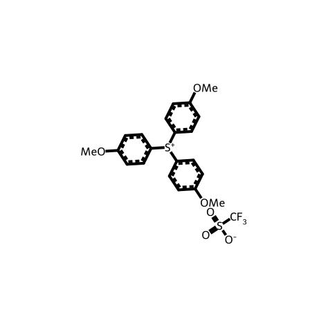 COc1ccc([S+](c2ccc(OC)cc2)c2ccc(OC)cc2)cc1.O=S(=O)([O-])C(F)(F)F